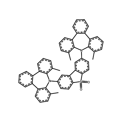 Cc1cccc2c1N(c1ccc3c(c1)-c1cc(N4c5c(C)cccc5-c5ccccc5-c5cccc(C)c54)ccc1S3(=O)=O)c1c(C)cccc1-c1ccccc1-2